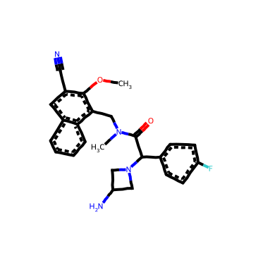 COc1c(C#N)cc2ccccc2c1CN(C)C(=O)C(c1ccc(F)cc1)N1CC(N)C1